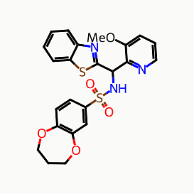 COc1cccnc1C(NS(=O)(=O)c1ccc2c(c1)OCCCO2)c1nc2ccccc2s1